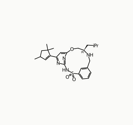 CC(C)C[C@@H]1COc2cc(C3=CC(C)CC3(C)C)nc(n2)NS(=O)(=O)c2cccc(c2)CN1